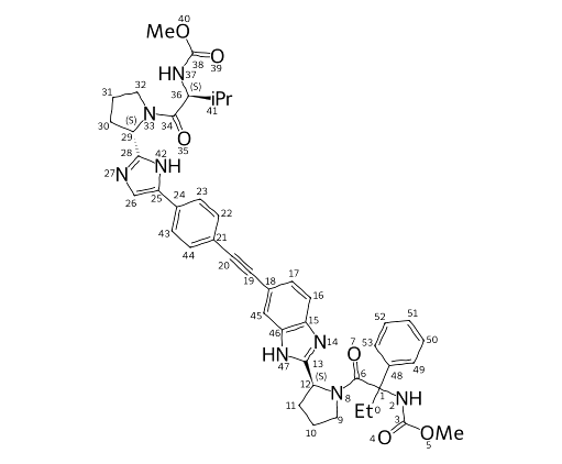 CCC(NC(=O)OC)(C(=O)N1CCC[C@H]1c1nc2ccc(C#Cc3ccc(-c4cnc([C@@H]5CCCN5C(=O)[C@@H](NC(=O)OC)C(C)C)[nH]4)cc3)cc2[nH]1)c1ccccc1